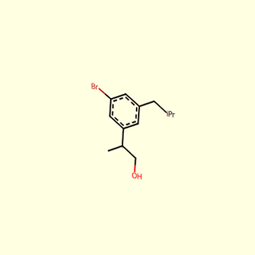 C[C](CO)c1cc(Br)cc(CC(C)C)c1